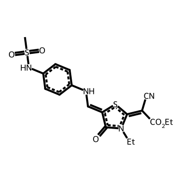 CCOC(=O)C(C#N)=c1sc(=CNc2ccc(NS(C)(=O)=O)cc2)c(=O)n1CC